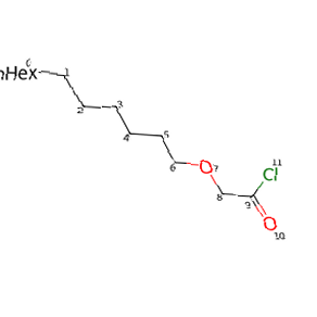 CCCCCCCCCCCCOCC(=O)Cl